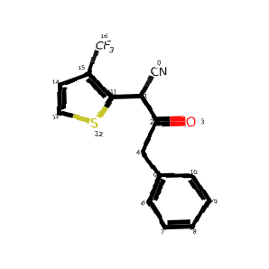 N#CC(C(=O)Cc1ccccc1)c1sccc1C(F)(F)F